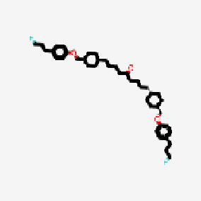 O=C(CCCCC1CCC(COc2ccc(CCCF)cc2)CC1)CCCC[C@H]1CC[C@H](COc2ccc(CCCF)cc2)CC1